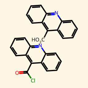 O=C(Cl)c1c2ccccc2nc2ccccc12.O=C(O)c1c2ccccc2nc2ccccc12